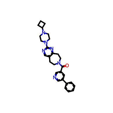 O=C(c1cncc(-c2ccccc2)c1)N1CCc2cnc(N3CCN(C4CCC4)CC3)nc2CC1